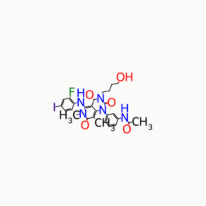 CC(=O)Nc1cccc(-n2c(=O)n(CCCCO)c(=O)c3c(Nc4ccc(I)cc4F)n(C)c(=O)c(C)c32)c1